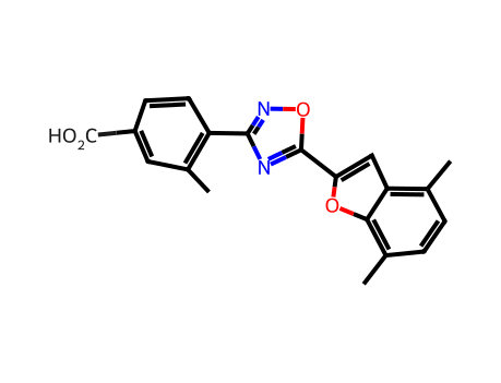 Cc1cc(C(=O)O)ccc1-c1noc(-c2cc3c(C)ccc(C)c3o2)n1